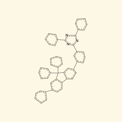 c1ccc(-c2ccc3c(c2)C(c2ccccc2)(c2ccccc2)c2cc(-c4cccc(-c5nc(-c6ccccc6)nc(-c6ccccc6)n5)c4)ccc2-3)cc1